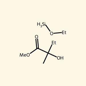 CCC(C)(O)C(=O)OC.CCO[SiH3]